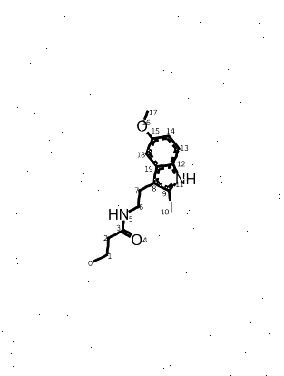 CCCC(=O)NCCc1c(I)[nH]c2ccc(OC)cc12